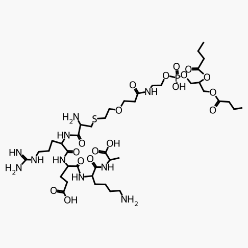 CCCC(=O)OCC(COP(=O)(O)OCCNC(=O)CCOCCSCC(N)C(=O)NC(CCCNC(=N)N)C(=O)NC(CCC(=O)O)C(=O)NC(CCCCN)C(=O)NC(C)C(=O)O)OC(=O)CCC